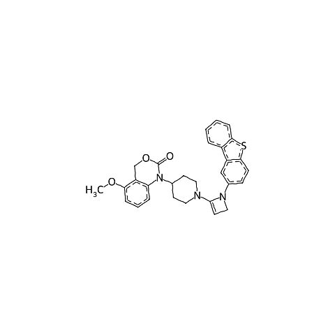 COc1cccc2c1COC(=O)N2C1CCN(C2=CCN2c2ccc3sc4ccccc4c3c2)CC1